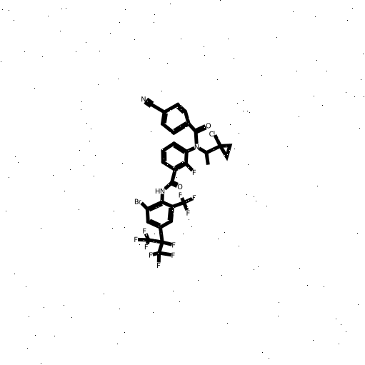 CC(N(C(=O)c1ccc(C#N)cc1)c1cccc(C(=O)Nc2c(Br)cc(C(F)(C(F)(F)F)C(F)(F)F)cc2C(F)(F)F)c1F)C1(Cl)CC1